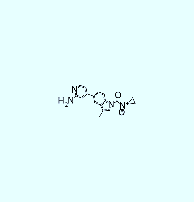 Cc1cn(C(=O)[N+](=O)C2CC2)c2ccc(-c3ccnc(N)c3)cc12